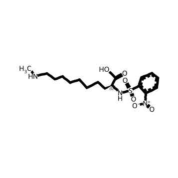 CNCCCCCCCC[C@H](NS(=O)(=O)c1ccccc1[N+](=O)[O-])C(=O)O